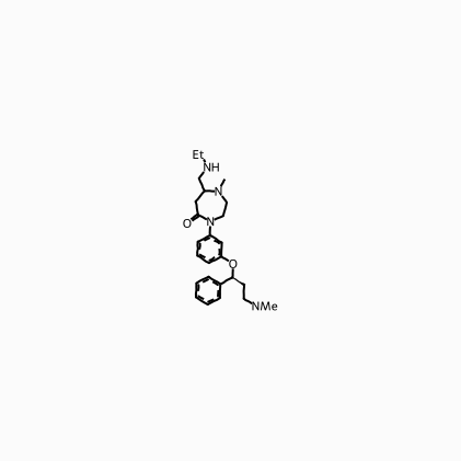 CCNCC1CC(=O)N(c2cccc(O[C@@H](CCNC)c3ccccc3)c2)CCN1C